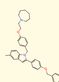 Cc1ccc2c(c1)cc(-c1ccc(OCc3ccccc3)cc1)n2Cc1ccc(OCCN2CCCCCC2)cc1